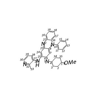 COC1CCC(/N=c2\cc3n(-c4ccccc4)c4ccccc4nc-3cc2Nc2cccnc2C)CC1